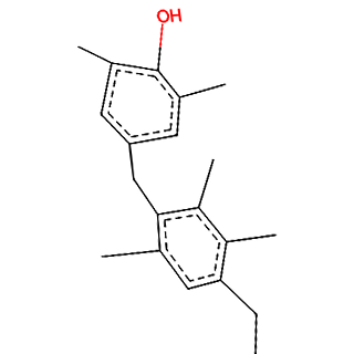 CCc1cc(C)c(Cc2cc(C)c(O)c(C)c2)c(C)c1C